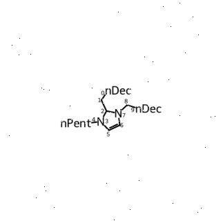 CCCCCCCCCCCC1N(CCCCC)C=CN1CCCCCCCCCCC